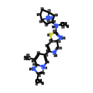 Cc1cn2cc(-c3cc4sc(N(C)C5CC6CCC(C5)N6)nc4cn3)cc(C#N)c2n1